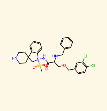 CS(=O)(=O)[N+]1(NC(=O)C(COCc2ccc(Cl)c(Cl)c2)NCc2ccccc2)CC2(CCNCC2)c2ccccc21